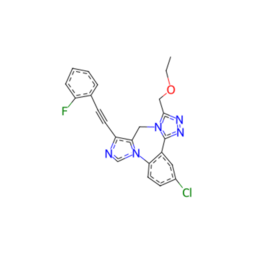 CCOCc1nnc2n1Cc1c(C#Cc3ccccc3F)ncn1-c1ccc(Cl)cc1-2